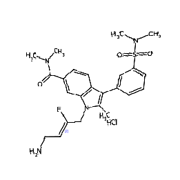 Cc1c(-c2cccc(S(=O)(=O)N(C)C)c2)c2ccc(C(=O)N(C)C)cc2n1C/C(F)=C/CN.Cl